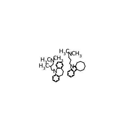 CC(CN(C)C)CN1c2ccccc2CCc2ccccc21.CN(C)CCCn1c2c(c3ccccc31)CCCCCC2